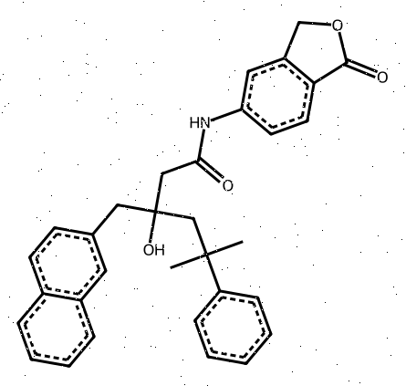 CC(C)(CC(O)(CC(=O)Nc1ccc2c(c1)COC2=O)Cc1ccc2ccccc2c1)c1ccccc1